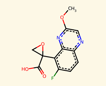 COc1cnc2ccc(F)c(C3(C(=O)O)CO3)c2n1